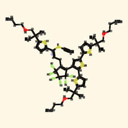 C#CS/C(=C\CC1=C(c2cc(-c3ccc(C(C)(C)COCCOC)s3)sc2-c2ccc(C(C)(C)COCCOC)s2)C(F)(F)C(F)(F)C1(F)F)c1ccc(C(C)(C)COCCOC)s1